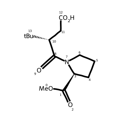 COC(=O)[C@@H]1CCCN1C(=O)[C@@H](CC(=O)O)C(C)(C)C